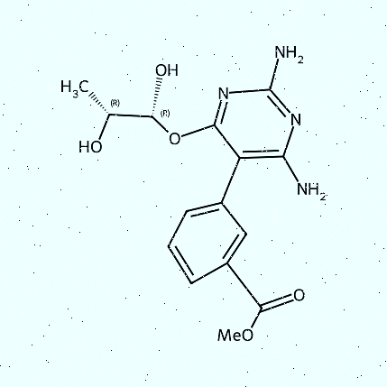 COC(=O)c1cccc(-c2c(N)nc(N)nc2O[C@@H](O)[C@@H](C)O)c1